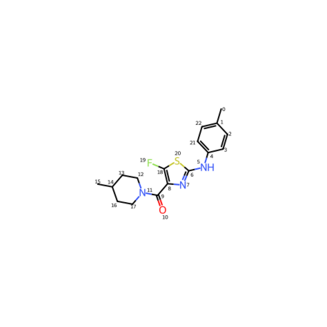 Cc1ccc(Nc2nc(C(=O)N3CCC(C)CC3)c(F)s2)cc1